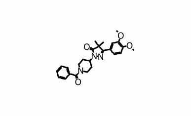 COc1ccc(C2=NN(C3CCN(C(=O)c4ccccc4)CC3)C(=O)C2(C)C)cc1OC